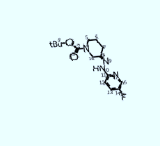 CC(C)(C)OC(=O)N1CCC/C(=N/Nc2ccc(F)cn2)C1